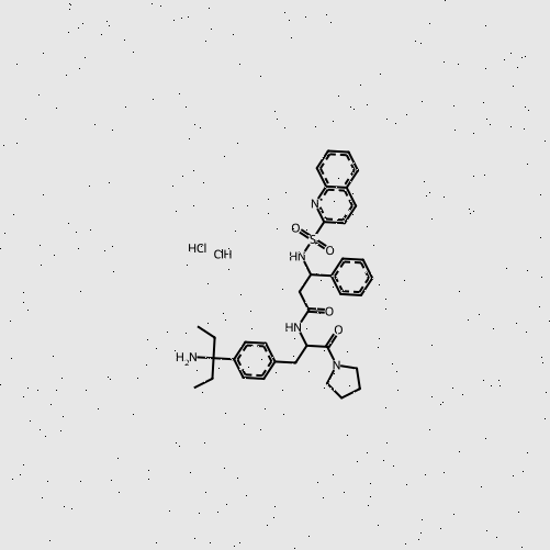 CCC(N)(CC)c1ccc(CC(NC(=O)CC(NS(=O)(=O)c2ccc3ccccc3n2)c2ccccc2)C(=O)N2CCCC2)cc1.Cl.Cl